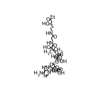 CCC(=O)CC(O)SCCNC(=O)CCNC(=O)[C@H](O)C(C)(C)COP(=O)(O)OP(=O)(O)OC[C@H]1O[C@@H](n2cnc3c(N)ncnc32)[C@H](O)[C@@H]1OP(=O)(O)O